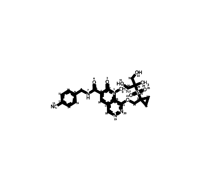 Cn1c(=O)c(C(=O)NCc2ccc(C#N)cc2)cc2cnnc(OCC3(S(=O)(=O)C(C)(CO)CO)CC3)c21